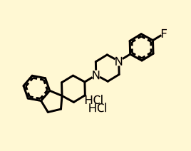 Cl.Cl.Fc1ccc(N2CCN(C3CCC4(CCc5ccccc54)CC3)CC2)cc1